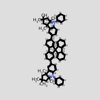 CC1(C)CC2(C)c3cc(-c4ccc5c(c4)C4(c6ccccc6-c6ccccc64)c4cc(-c6ccc7c(c6)C6(C)CC(C)(C)CC6(C)N7c6ccccc6)ccc4-5)ccc3N(c3ccccc3)C2(C)C1